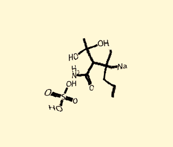 CCC[C](C)([Na])C(C(N)=O)C(C)(O)O.O=S(=O)(O)O